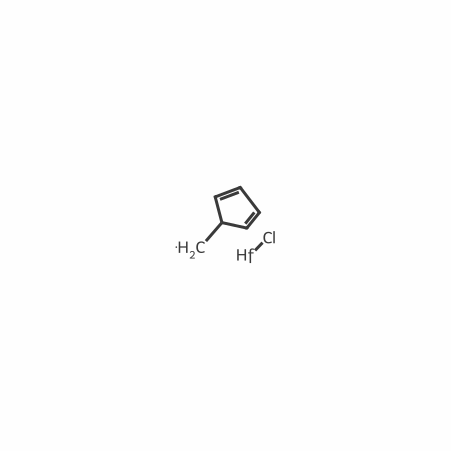 [CH2]C1C=CC=C1.[Cl][Hf]